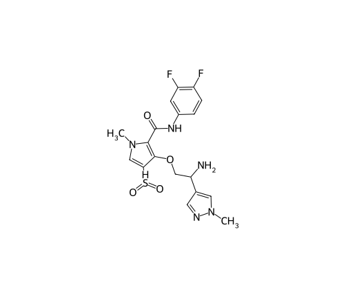 Cn1cc(C(N)COc2c([SH](=O)=O)cn(C)c2C(=O)Nc2ccc(F)c(F)c2)cn1